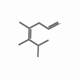 [CH]=CCC(C)=C(C)C(C)C